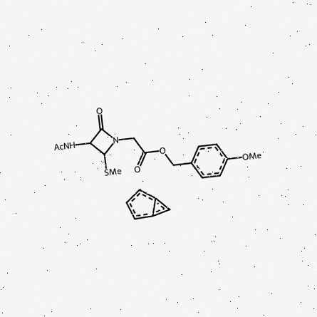 COc1ccc(COC(=O)CN2C(=O)C(NC(C)=O)C2SC)cc1.c1cc2cc-2c1